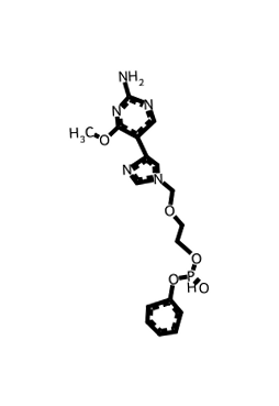 COc1nc(N)ncc1-c1cn(COCCO[PH](=O)Oc2ccccc2)cn1